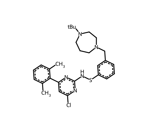 Cc1cccc(C)c1-c1cc(Cl)nc(NSc2cccc(CN3CCCN(C(C)(C)C)CC3)c2)n1